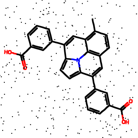 Cc1ccc2cc(-c3cccc(C(=O)O)c3)c3ccc4c(-c5cccc(C(=O)O)c5)cc1c2n34